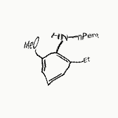 CCCCCNc1c(CC)cccc1OC